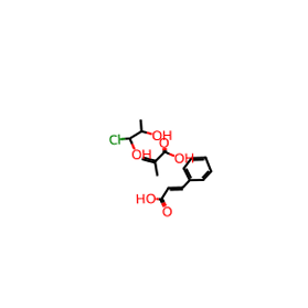 C=C(C)C(=O)O.CC(O)C(O)Cl.O=C(O)C=Cc1ccccc1